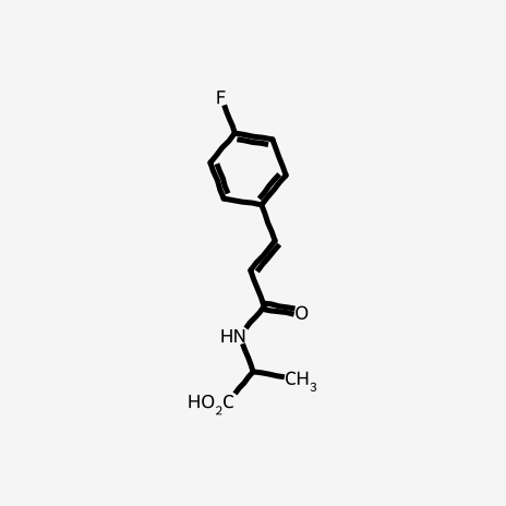 CC(NC(=O)/C=C/c1ccc(F)cc1)C(=O)O